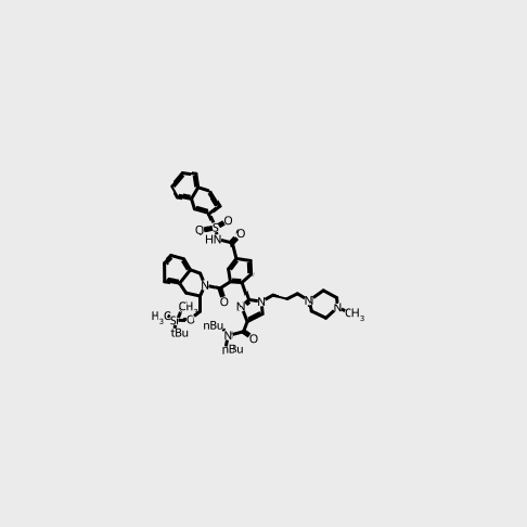 CCCCN(CCCC)C(=O)c1cn(CCCN2CCN(C)CC2)c(-c2ccc(C(=O)NS(=O)(=O)c3ccc4ccccc4c3)cc2C(=O)N2Cc3ccccc3CC2CO[Si](C)(C)C(C)(C)C)n1